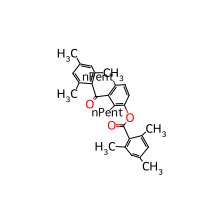 CCCCCc1ccc(OC(=O)c2c(C)cc(C)cc2C)c(CCCCC)c1C(=O)c1c(C)cc(C)cc1C